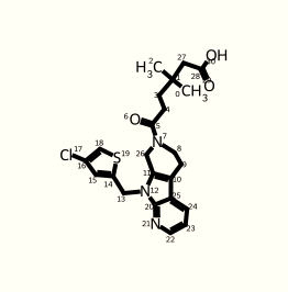 CC(C)(CCC(=O)N1CCc2c(n(Cc3cc(Cl)cs3)c3ncccc23)C1)CC(=O)O